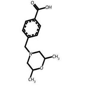 CC1CN(Cc2ccc(C(=O)O)cc2)CC(C)O1